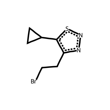 BrCCc1nnsc1C1CC1